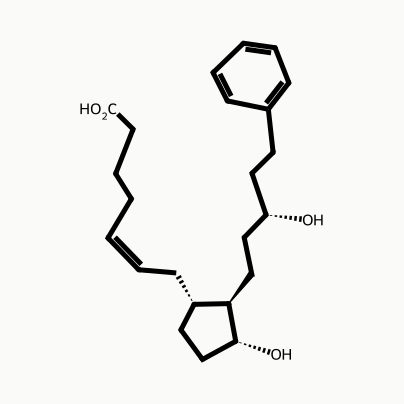 O=C(O)CCC/C=C\C[C@H]1CC[C@@H](O)[C@@H]1CC[C@@H](O)CCc1ccccc1